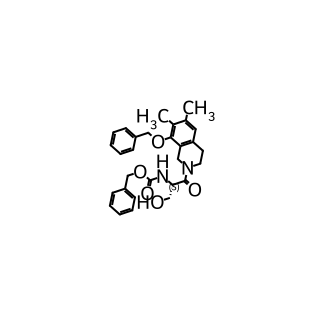 Cc1cc2c(c(OCc3ccccc3)c1C)CN(C(=O)[C@H](CO)NC(=O)OCc1ccccc1)CC2